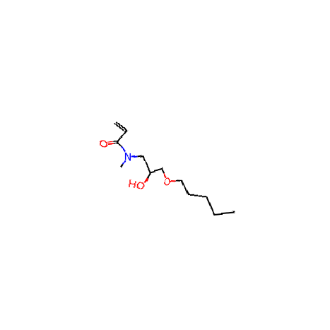 C=CC(=O)N(C)CC(O)COCCCCC